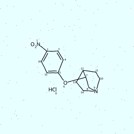 Cl.O=[N+]([O-])c1ccc(OC2CN3CCC2CC3)cc1